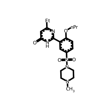 CCCOc1ccc(S(=O)(=O)N2CCN(C)CC2)cc1-c1nc(CC)cc(=O)[nH]1